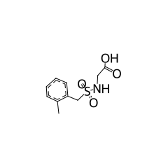 Cc1ccccc1CS(=O)(=O)NCC(=O)O